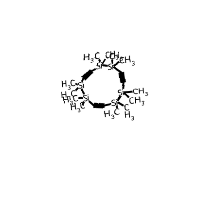 C[Si]1(C)C#C[Si](C)(C)[Si](C)(C)C#C[Si](C)(C)[Si](C)(C)C#C[Si]1(C)C